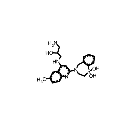 Cc1ccc2nc(N3CCS(O)(O)c4ccccc4C3)cc(NCC(O)CN)c2c1